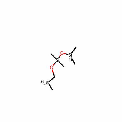 C[SiH2]CO[Si](C)(C)O[SiH](C)C